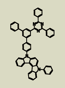 c1ccc(-c2cc(-c3ccc(-n4c5ccccc5c5c6c7ccccc7n(-c7ccccc7)c6ccc54)cc3)cc(-c3nc(-c4ccccc4)nc(-c4ccccc4)n3)c2)cc1